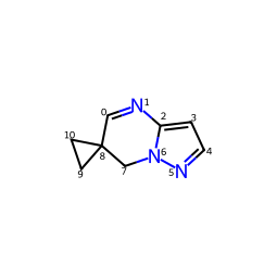 C1=Nc2ccnn2CC12CC2